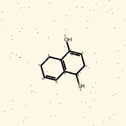 OC1=CCC(S)C2=C1CCC=C2